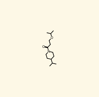 CC(C)OCCC(=O)N1CCC(C(C)C)CC1